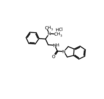 CN(C)C(CNC(=O)N1Cc2ccccc2C1)c1ccccc1.Cl